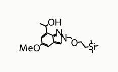 COc1cc(C(C)O)c2nn(COCC[Si](C)(C)C)cc2c1